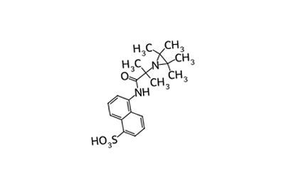 CC(C)(C(=O)Nc1cccc2c(S(=O)(=O)O)cccc12)N1C(C)(C)C1(C)C